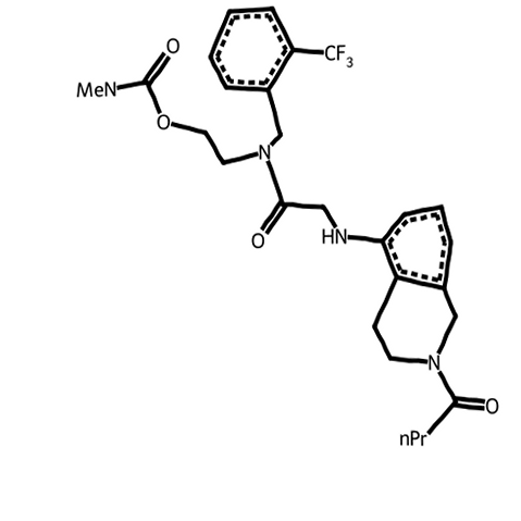 CCCC(=O)N1CCc2c(cccc2NCC(=O)N(CCOC(=O)NC)Cc2ccccc2C(F)(F)F)C1